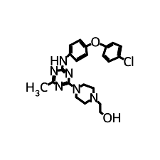 Cc1nc(Nc2ccc(Oc3ccc(Cl)cc3)cc2)nc(N2CCN(CCO)CC2)n1